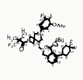 COc1cc(N2C[C@@H](COCc3cccc(C4CCC(F)(F)CC4)c3C(=O)OC(C)(C)C)C3(CN(C(=O)C(C)(C)C(F)(F)F)C3)C2)cc(F)c1F